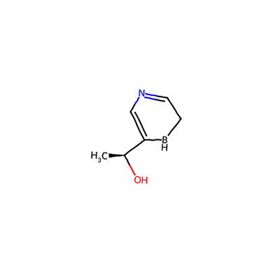 C[C@H](O)C1=CN=CCB1